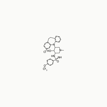 CN1CC(NS(=N)(=O)c2ccc(OC(F)(F)F)cc2)C(O)C(N2c3ccccc3CCc3ccc(Cl)cc32)C1